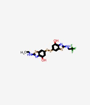 CCNc1nc2c(O)cc(SSc3cc(O)c4nc(NCC(F)(F)F)sc4c3)cc2s1